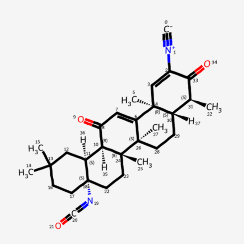 [C-]#[N+]C1=C[C@]2(C)C3=CC(=O)[C@@H]4[C@@H]5CC(C)(C)CC[C@]5(N=C=O)CC[C@@]4(C)[C@]3(C)CC[C@H]2[C@H](C)C1=O